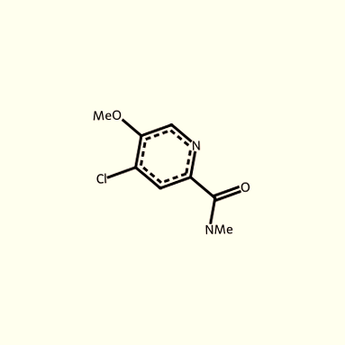 CNC(=O)c1cc(Cl)c(OC)cn1